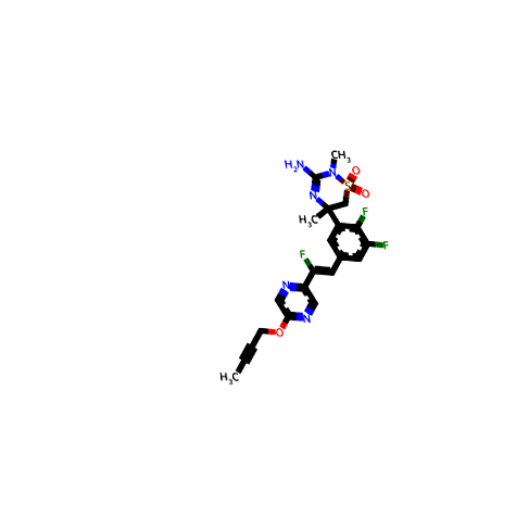 CC#CCOc1cnc(C(F)=Cc2cc(F)c(F)c(C3(C)CS(=O)(=O)N(C)C(N)=N3)c2)cn1